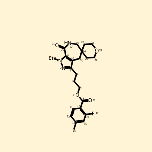 CCn1nc(CCCOC(=O)c2ccc(C)cc2F)c2c1C(=O)NCC1(CCOCC1)C2